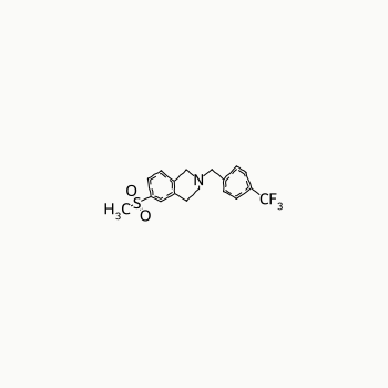 CS(=O)(=O)c1ccc2c(c1)CCN(Cc1ccc(C(F)(F)F)cc1)C2